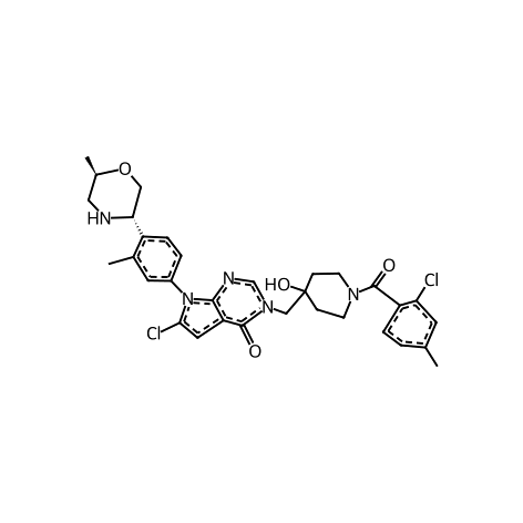 Cc1ccc(C(=O)N2CCC(O)(Cn3cnc4c(cc(Cl)n4-c4ccc([C@H]5CO[C@H](C)CN5)c(C)c4)c3=O)CC2)c(Cl)c1